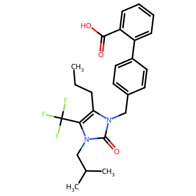 CCCc1c(C(F)(F)F)n(CC(C)C)c(=O)n1Cc1ccc(-c2ccccc2C(=O)O)cc1